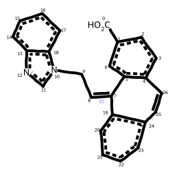 O=C(O)c1ccc2c(c1)/C(=C\Cn1cnc3ccccc31)c1ccccc1C=C2